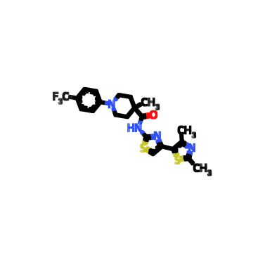 Cc1nc(C)c(-c2csc(NC(=O)C3(C)CCN(c4ccc(C(F)(F)F)cc4)CC3)n2)s1